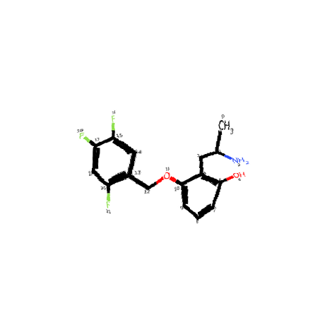 CC(N)Cc1c(O)cccc1OCc1cc(F)c(F)cc1F